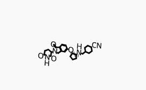 N#CC1CCC(CN[C@H]2CCC[C@H]2Oc2ccc3c(c2)CN(C2CCC(=O)NC2=O)C3=O)CC1